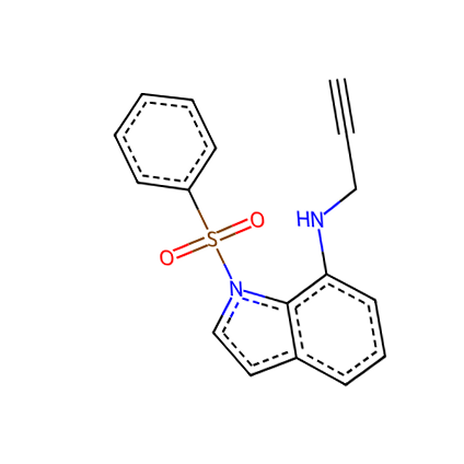 C#CCNc1cccc2ccn(S(=O)(=O)c3ccccc3)c12